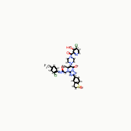 CCc1c(N2CCN(C(=O)c3nccc(Cl)c3O)CC2)c(=O)n2nc(-c3ccc4c(c3)CC[S+]4[O-])nc2n1CC(=O)Nc1ccc(C(F)(F)F)cc1Cl